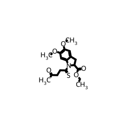 CCOC(=O)C1Cc2cc(OC)c(OC)cc2N1C(=S)CCC(C)=O